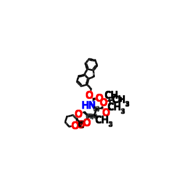 C[C@@H]([C@@H]1COC2(CCCCO2)C2(CCCCO2)O1)[C@H](NC(=O)OCc1cccc2c1Cc1ccccc1-2)C(=O)OC(C)(C)C